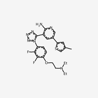 CCN(CC)CCOc1ccc(-n2nnnc2-c2cc(-c3cc(C)cs3)cnc2N)c(F)c1F